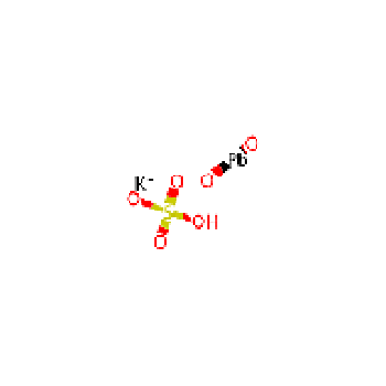 O=S(=O)([O-])O.[K+].[O]=[Pb]=[O]